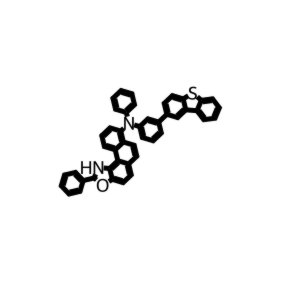 c1ccc(C2Nc3c(ccc4ccc5c(N(c6ccccc6)c6cccc(-c7ccc8sc9ccccc9c8c7)c6)cccc5c34)O2)cc1